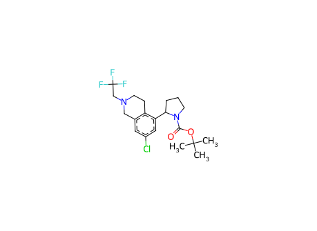 CC(C)(C)OC(=O)N1CCCC1c1cc(Cl)cc2c1CCN(CC(F)(F)F)C2